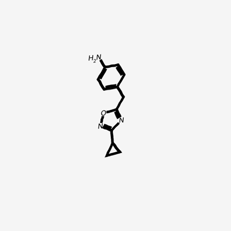 Nc1ccc(Cc2nc(C3CC3)no2)cc1